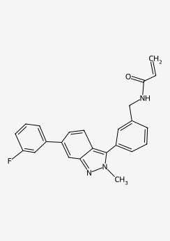 C=CC(=O)NCc1cccc(-c2c3ccc(-c4cccc(F)c4)cc3nn2C)c1